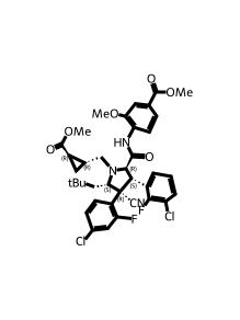 COC(=O)c1ccc(NC(=O)[C@H]2[C@H](c3cccc(Cl)c3F)[C@@](C#N)(c3ccc(Cl)cc3F)[C@H](CC(C)(C)C)N2C[C@@H]2C[C@H]2C(=O)OC)c(OC)c1